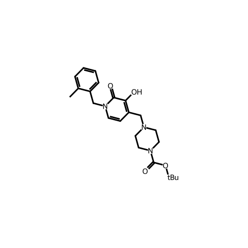 Cc1ccccc1Cn1ccc(CN2CCN(C(=O)OC(C)(C)C)CC2)c(O)c1=O